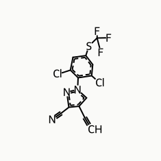 C#Cc1cn(-c2c(Cl)cc(SC(F)(F)F)cc2Cl)nc1C#N